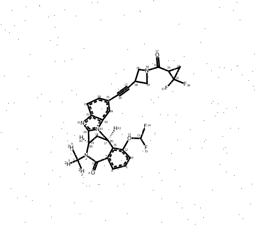 [2H]C([2H])([2H])N1C(=O)c2cccc(OC(F)F)c2[C@H]2C[C@@H]1c1nc3ccc(C#CC4CN(C(=O)C5CC5(F)F)C4)cc3n12